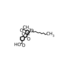 CCCCCCCCOc1cc(C(C)=O)c2oc3ccc(C(=O)O)cc3c(=O)c2c1